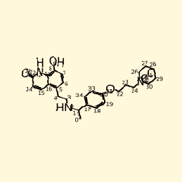 CC(NCCc1ccc(O)c2[nH]c(=O)ccc12)c1ccc(OCCC[N+]23CCC(CC2)CC3)cc1